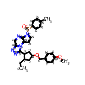 CCC1CC(OCc2ccc(OC)cc2)CC1c1nnc2cnc3c(ccn3[S+]([O-])c3ccc(C)cc3)n12